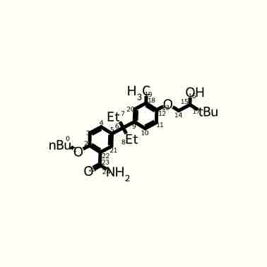 CCCCOc1ccc(C(CC)(CC)c2ccc(OCC(O)C(C)(C)C)c(C)c2)cc1C(N)=O